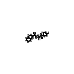 Cc1ccc(S(=O)(=O)NCC(Br)C(=O)c2ccc3ccccc3c2)cc1